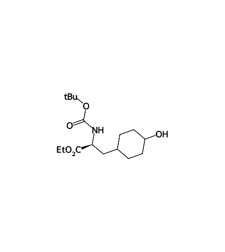 CCOC(=O)[C@H](CC1CCC(O)CC1)NC(=O)OC(C)(C)C